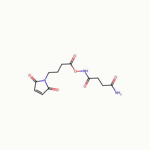 NC(=O)CCC(=O)NOC(=O)CCCN1C(=O)C=CC1=O